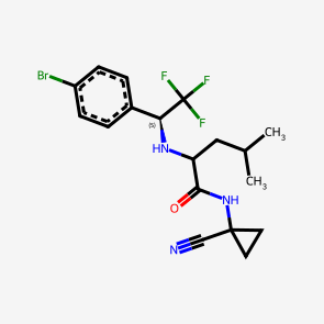 CC(C)CC(N[C@@H](c1ccc(Br)cc1)C(F)(F)F)C(=O)NC1(C#N)CC1